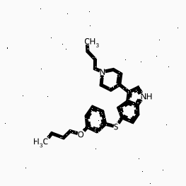 CCCCOc1cccc(Sc2ccc3[nH]cc(C4=CCN(CCCC)CC4)c3c2)c1